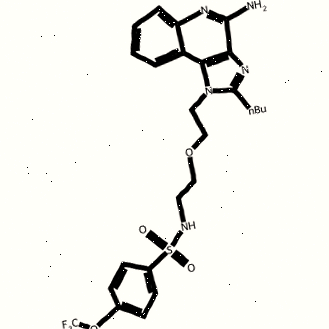 CCCCc1nc2c(N)nc3ccccc3c2n1CCOCCNS(=O)(=O)c1ccc(OC(F)(F)F)cc1